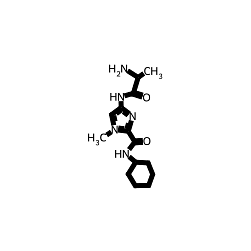 CC(N)C(=O)Nc1cn(C)c(C(=O)NC2CCCCC2)n1